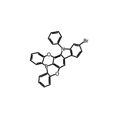 Brc1ccc2c3cc4c5c(c3n(-c3ccccc3)c2c1)Oc1ccccc1B5c1ccccc1O4